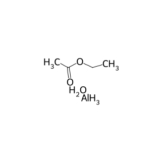 CCOC(C)=O.O.[AlH3]